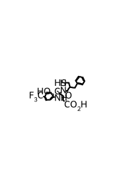 O=C(O)CC[C@@](NC(=O)C(CS)Cc1ccccc1)(Nc1ccc(C(F)(F)F)cc1)C(=O)O